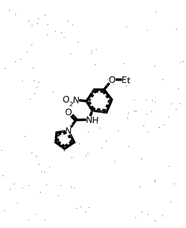 CCOc1ccc(NC(=O)n2c[c]cc2)c([N+](=O)[O-])c1